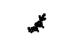 CC(C)(C)OC(=O)N1CCN2C[C@@H](c3cc(F)c(C#N)c(F)c3)OC[C@]2(C)C1